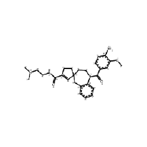 COc1cc(C(=O)N2CCC3(C=C(C(=O)NCCN(C)C)CC3)Cc3ccccc32)ccc1N